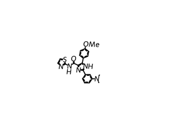 COc1ccc(-c2[nH]c(-c3cccc(N(C)C)c3)nc2C(=O)Nc2nccs2)cc1